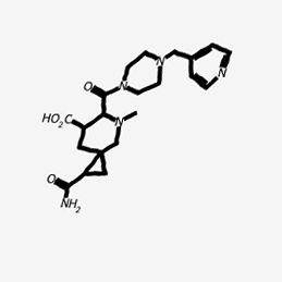 CN1CC2(CC(C(=O)O)C1C(=O)N1CCN(Cc3ccncc3)CC1)CC2C(N)=O